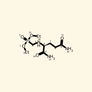 CCOP(=O)(CN[C@@H](CCC(N)=O)C(N)=O)OCC